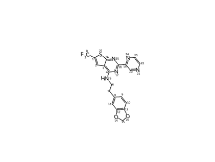 FC(F)(F)c1cc2c(NCCc3ccc4c(c3)OCO4)nc(-c3cnccn3)nc2s1